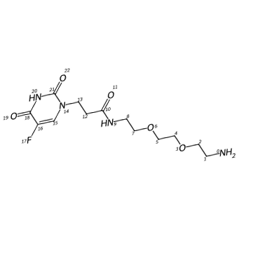 NCCOCCOCCNC(=O)CCn1cc(F)c(=O)[nH]c1=O